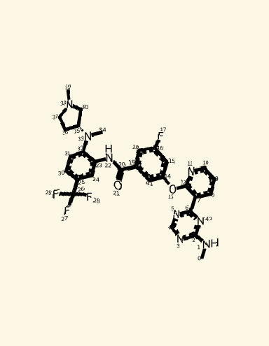 CNc1ncnc(-c2cccnc2Oc2cc(F)cc(C(=O)Nc3cc(C(F)(F)F)ccc3N(C)[C@@H]3CCN(C)C3)c2)n1